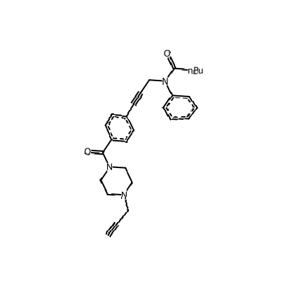 C#CCN1CCN(C(=O)c2ccc(C#CCN(C(=O)CCCC)c3ccccc3)cc2)CC1